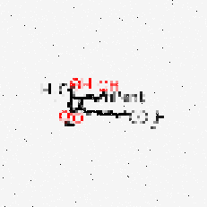 CCCCCC(O)C=CC1C(C(C)O)CC2(OCCO2)C1CC=CCCCC(=O)O